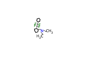 C=CCN(CC=C)Cc1ccccc1C(F)(F)C(F)(F)c1ccccc1